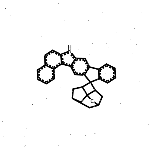 c1ccc2c(c1)-c1cc3[nH]c4ccc5ccccc5c4c3cc1C21C2CC3CC4CC1C2(C3)C4